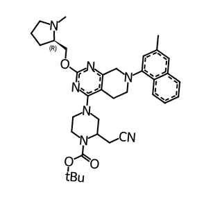 Cc1cc(N2CCc3c(nc(OC[C@H]4CCCN4C)nc3N3CCN(C(=O)OC(C)(C)C)C(CC#N)C3)C2)c2ccccc2c1